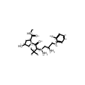 CNC(=O)C1CC(O)CN1C(=O)C(N(N)CC(N)COc1ccccc1F)C(C)(C)C